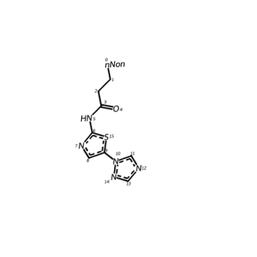 CCCCCCCCCCCC(=O)Nc1ncc(-n2cncn2)s1